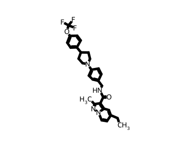 CCc1ccn2nc(C)c(C(=O)NCc3ccc(N4CCC(c5ccc(OC(F)(F)F)cc5)CC4)cc3)c2c1